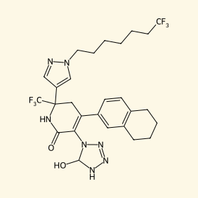 O=C1NC(c2cnn(CCCCCCC(F)(F)F)c2)(C(F)(F)F)CC(c2ccc3c(c2)CCCC3)=C1N1N=NNC1O